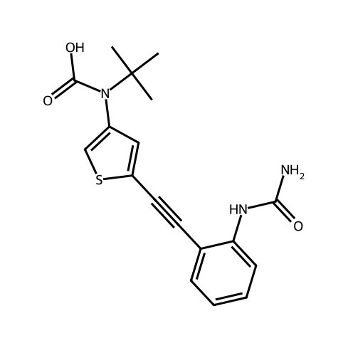 CC(C)(C)N(C(=O)O)c1csc(C#Cc2ccccc2NC(N)=O)c1